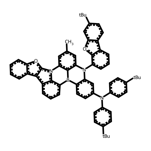 Cc1cc2c3c(c1)-n1c4oc5ccccc5c4c4cccc(c41)B3c1ccc(N(c3ccc(C(C)(C)C)cc3)c3ccc(C(C)(C)C)cc3)cc1N2c1cccc2c1oc1cc(C(C)(C)C)ccc12